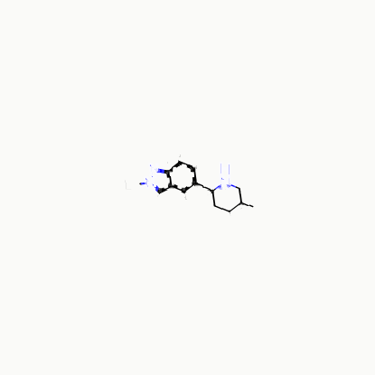 CCn1cc2cc(C3CCC(C)CN3)ccc2n1